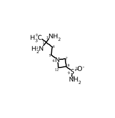 CC(N)(N)CCN1CC([S+](N)[O-])C1